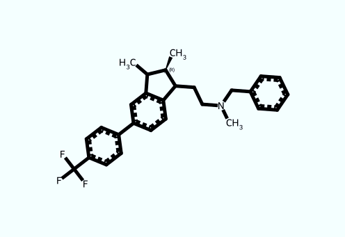 CC1c2cc(-c3ccc(C(F)(F)F)cc3)ccc2C(CCN(C)Cc2ccccc2)[C@@H]1C